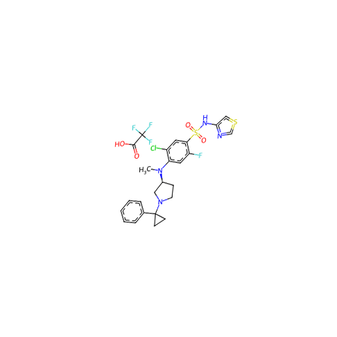 CN(c1cc(F)c(S(=O)(=O)Nc2cscn2)cc1Cl)[C@H]1CCN(C2(c3ccccc3)CC2)C1.O=C(O)C(F)(F)F